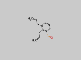 C=CCc1cccc(P=O)c1CC=C